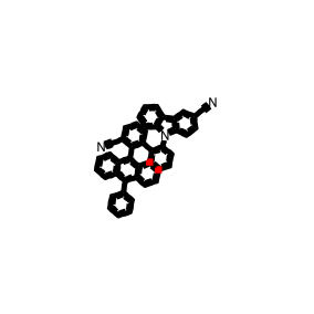 N#Cc1ccc2c(c1)c1ccccc1n2-c1ccccc1-c1cccc(C#N)c1-c1c2ccccc2c(-c2ccccc2)c2ccccc12